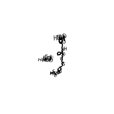 CC(C)c1nc(C(=O)N2CCOC3(CCN(CCc4cc(CCOCCC(=O)N(CCNCCc5ccc(O)c6c5OCC(=O)N6)C5CCCCC5)cs4)CC3)C2)cs1.O=C(O)C(F)(F)F.O=C(O)C(F)(F)F